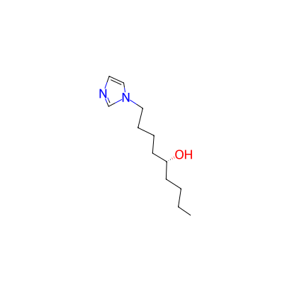 CCCC[C@@H](O)CCCCn1ccnc1